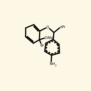 CCCC(OC1=CCC=CC1(Br)OC)c1ccc(N)cc1